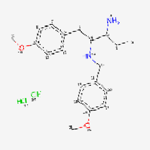 CCC(N)C(Cc1ccc(OC)cc1)NCc1ccc(OC)cc1.Cl.Cl